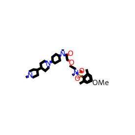 COc1cc(C)c(S(=O)(=O)N(C)CCOCC(=O)N(C)C2CCC(N3CCC(C4CCN(C)CC4)CC3)CC2)c(C)c1